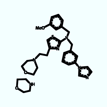 C1COCCN1.COc1cccc(CN(Cc2cccc(-n3ccnc3)c2)c2nc(CCN3CCOCC3)cs2)c1